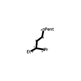 [CH2]CC(CCCCCCC)C(C)C